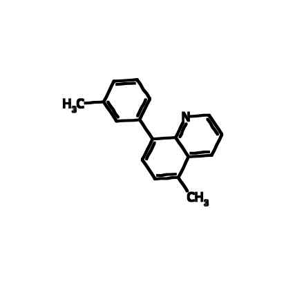 Cc1cccc(-c2ccc(C)c3cccnc23)c1